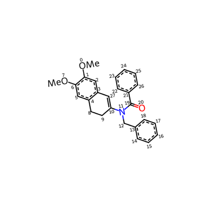 COc1cc2c(cc1OC)CCC(N(Cc1ccccc1)C(=O)c1ccccc1)=C2